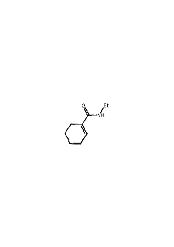 CCNC(=O)C1=CCCCC1